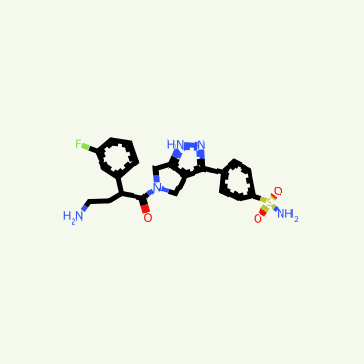 NCCC(C(=O)N1Cc2[nH]nc(-c3ccc(S(N)(=O)=O)cc3)c2C1)c1cccc(F)c1